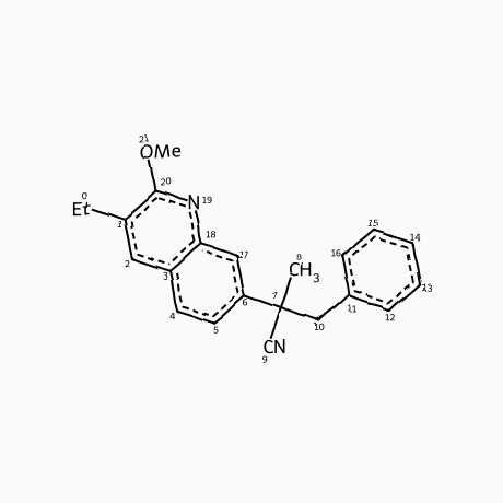 CCc1cc2ccc(C(C)(C#N)Cc3ccccc3)cc2nc1OC